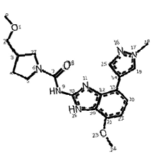 COCC1CCN(C(=O)Nc2nc3c(-c4cnn(C)c4)ccc(OC)c3[nH]2)C1